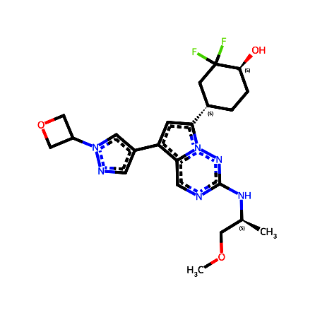 COC[C@H](C)Nc1ncc2c(-c3cnn(C4COC4)c3)cc([C@H]3CC[C@H](O)C(F)(F)C3)n2n1